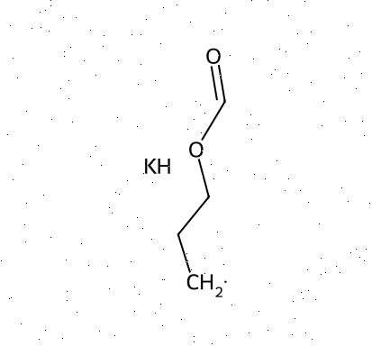 [CH2]CCOC=O.[KH]